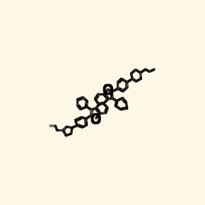 CCCC1CCC(c2ccc(-c3oc4ccc5c(ccc6oc(-c7ccc(C8CCC(CCC)C8)cc7)c(-c7ccccc7)c65)c4c3-c3ccccc3)cc2)CC1